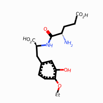 CCOc1ccc(C[C@H](NC(=O)[C@@H](N)CCC(=O)O)C(=O)O)cc1O